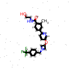 Cc1cc(-c2ccc(OC3CN(Cc4ccc(C(F)(F)F)cc4)C3)cn2)ccc1C(=O)NCCO